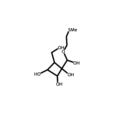 CSCCOC(O)C1(O)C(O)C(O)C1CO